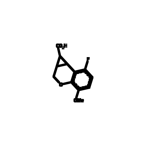 COc1ccc(F)c2c1OCC1C(C(=O)O)C21